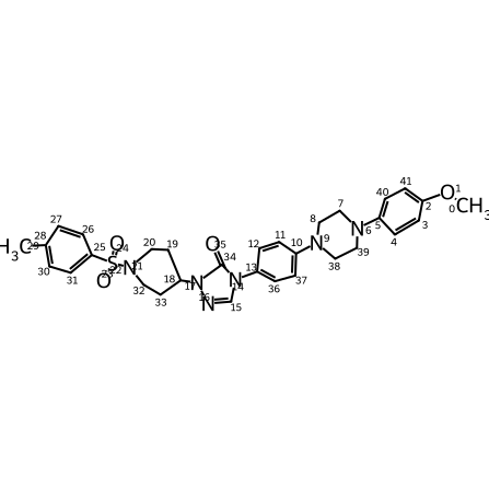 COc1ccc(N2CCN(c3ccc(-n4cnn(C5CCN(S(=O)(=O)c6ccc(C)cc6)CC5)c4=O)cc3)CC2)cc1